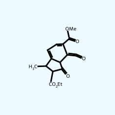 CCOC(=O)C1C(=O)C2C(=C=O)C(C(=O)OC)=CC=C2C1C